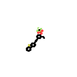 CCc1cc(C#Cc2ccc3c(c2)sc2ccccc23)ccc1OS(=O)(=O)C(F)(F)F